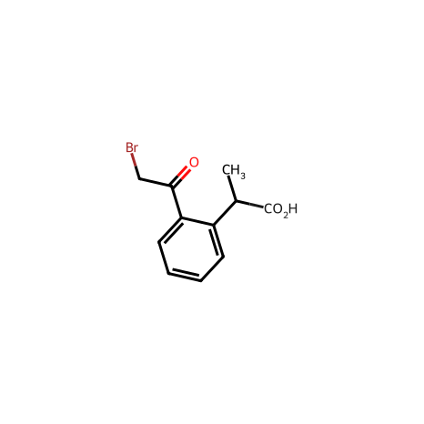 CC(C(=O)O)c1ccccc1C(=O)CBr